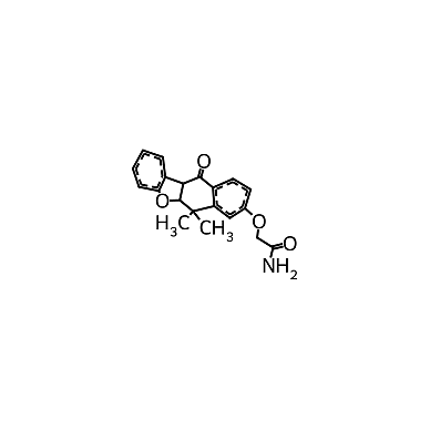 CC1(C)c2cc(OCC(N)=O)ccc2C(=O)C2c3ccccc3OC21